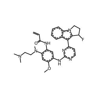 C=CC(=O)Nc1cc(Nc2nccc(-c3c4n(c5ccccc35)CCC4F)n2)c(OC)cc1N(C)CCN(C)C